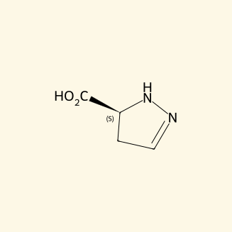 O=C(O)[C@@H]1CC=NN1